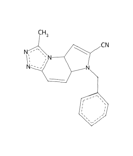 Cc1nnc2n1C1C=C(C#N)N(Cc3ccccc3)C1C=C2